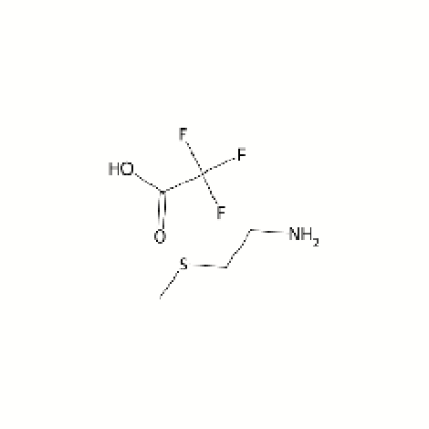 CSCCN.O=C(O)C(F)(F)F